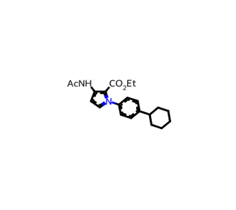 CCOC(=O)c1c(NC(C)=O)ccn1-c1ccc(C2CCCCC2)cc1